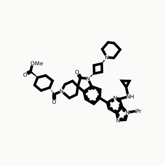 COC(=O)[C@H]1CC[C@H](C(=O)N2CCC3(CC2)C(=O)N([C@H]2C[C@@H](N4CCCCC4)C2)c2cc(-c4cc5ncn(C(C)C)c5c(NC5CC5)n4)ccc23)CC1